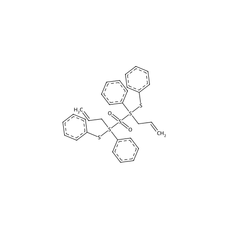 C=CCS(Sc1ccccc1)(c1ccccc1)S(=O)(=O)S(CC=C)(Sc1ccccc1)c1ccccc1